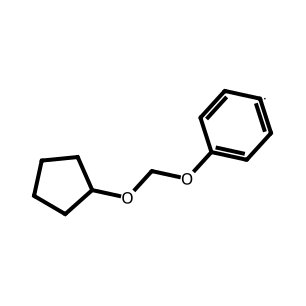 [c]1ccc(OCOC2CCCC2)cc1